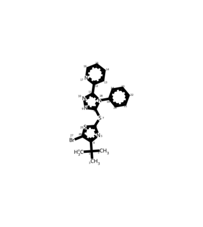 CC(C)(C)c1nc(Sc2nnc(-c3ccccn3)n2-c2ccccc2)sc1Br